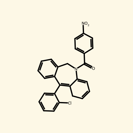 O=C(c1ccc([N+](=O)[O-])cc1)N1Cc2ccccc2C(c2ccccc2Cl)=C2CC=CC=C21